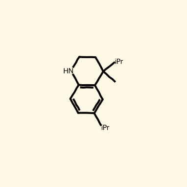 CC(C)c1ccc2c(c1)C(C)(C(C)C)CCN2